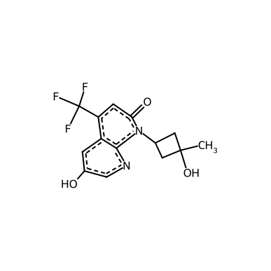 CC1(O)CC(n2c(=O)cc(C(F)(F)F)c3cc(O)cnc32)C1